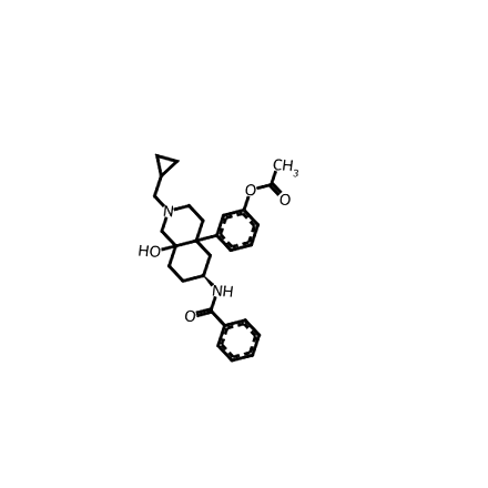 CC(=O)Oc1cccc(C23CCN(CC4CC4)CC2(O)CC[C@H](NC(=O)c2ccccc2)C3)c1